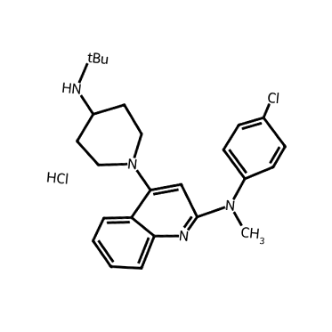 CN(c1ccc(Cl)cc1)c1cc(N2CCC(NC(C)(C)C)CC2)c2ccccc2n1.Cl